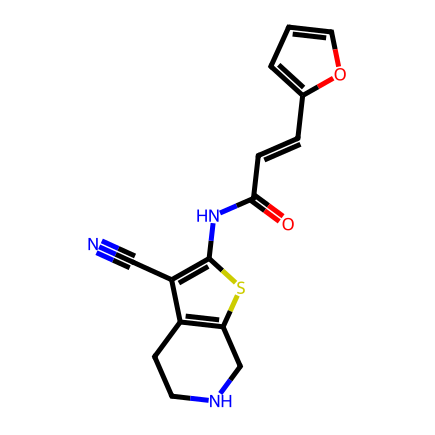 N#Cc1c(NC(=O)C=Cc2ccco2)sc2c1CCNC2